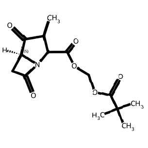 CC1C(=O)[C@@H]2CC(=O)N2C1C(=O)OCOC(=O)C(C)(C)C